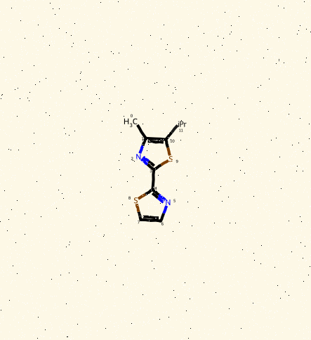 Cc1nc(-c2nccs2)sc1C(C)C